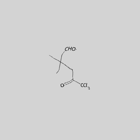 CC(C)([C]=O)CC(=O)C(Cl)(Cl)Cl